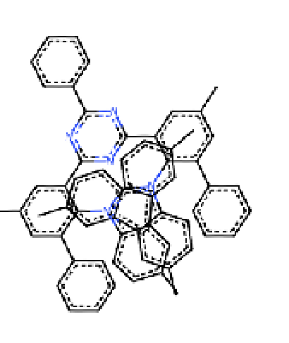 Cc1cc(-c2ccccc2)c(-n2c3ccc(C)cc3c3cc(C)ccc32)c(-c2nc(-c3ccccc3)nc(-c3cc(C)cc(-c4ccccc4)c3-n3c4ccc(C)cc4c4cc(C)ccc43)n2)c1